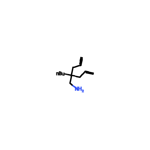 C=CCC(CN)(CC=C)CCCC